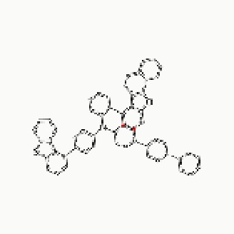 c1ccc(-c2ccc(-c3ccc(N(c4ccc(-c5cccc6sc7ccccc7c56)cc4)c4ccccc4-c4cccc5oc6c7ccccc7ccc6c45)cc3)cc2)cc1